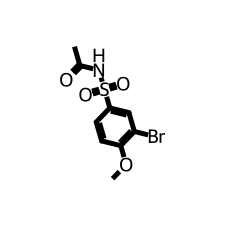 COc1ccc(S(=O)(=O)NC(C)=O)cc1Br